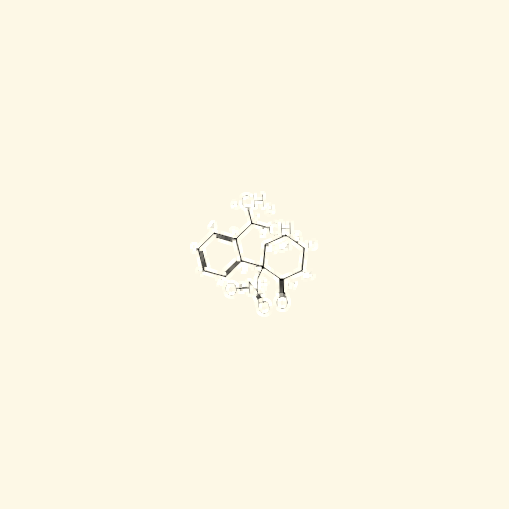 CC(C)c1ccccc1C1([N+](=O)[O-])CCCCC1=O